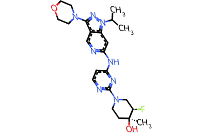 CC(C)n1nc(N2CCOCC2)c2cnc(Nc3ccnc(N4CC[C@](C)(O)[C@H](F)C4)n3)cc21